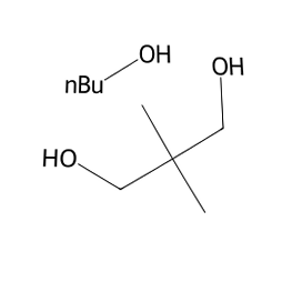 CC(C)(CO)CO.CCCCO